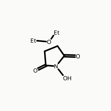 CCOCC.O=C1CCC(=O)N1O